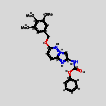 COc1cc(COc2ccc3nc(NC(=O)Oc4ccccc4)cn3n2)cc(OC)c1OC